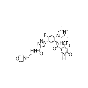 C[C@@H]1CN(c2cc(F)c(-n3cc(C(=O)NCCCN4CCOCC4)nn3)cc2NC(=O)c2c[nH]c(=O)cc2C(F)(F)F)C[C@H](C)N1C